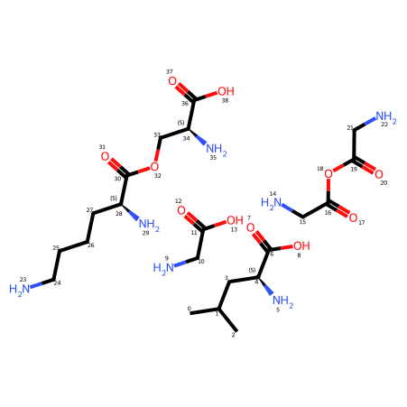 CC(C)C[C@H](N)C(=O)O.NCC(=O)O.NCC(=O)OC(=O)CN.NCCCC[C@H](N)C(=O)OC[C@H](N)C(=O)O